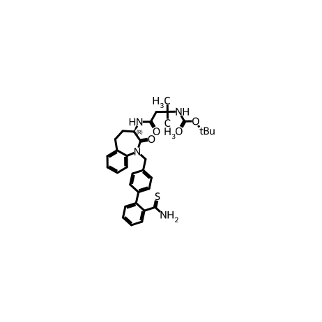 CC(C)(CC(=O)N[C@@H]1CCc2ccccc2N(Cc2ccc(-c3ccccc3C(N)=S)cc2)C1=O)NC(=O)OC(C)(C)C